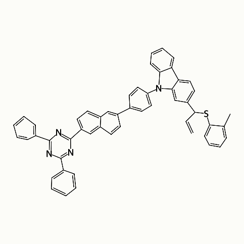 C=CC(Sc1ccccc1C)c1ccc2c3ccccc3n(-c3ccc(-c4ccc5cc(-c6nc(-c7ccccc7)nc(-c7ccccc7)n6)ccc5c4)cc3)c2c1